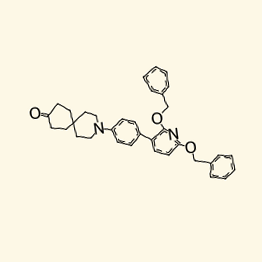 O=C1CCC2(CC1)CCN(c1ccc(-c3ccc(OCc4ccccc4)nc3OCc3ccccc3)cc1)CC2